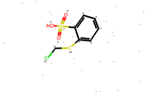 O=S(=O)(O)c1ccccc1SCCl